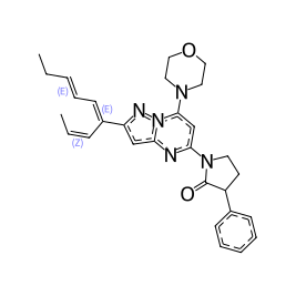 C\C=C/C(=C\C=C\CC)c1cc2nc(N3CCC(c4ccccc4)C3=O)cc(N3CCOCC3)n2n1